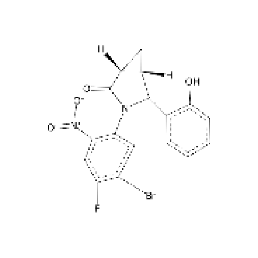 O=C1[C@@H]2C[C@@H]2C(c2ccccc2O)N1c1cc(Br)c(F)cc1[N+](=O)[O-]